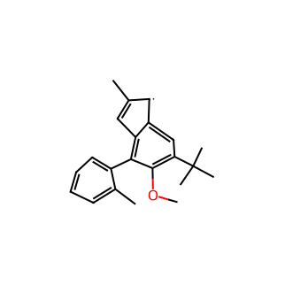 COc1c(C(C)(C)C)cc2c(c1-c1ccccc1C)C=C(C)[CH]2